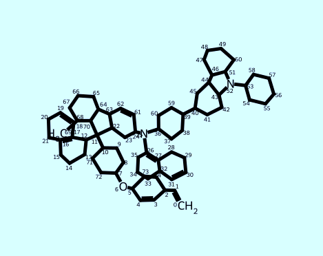 C=CC1C=CC(OC2CCC(C3(C4CCCC5=C4C=CCC5)C4CC(N(C5=C6CCC=CC6CCC5)C5CCC(C6CCC7C(C6)C6CCCCC6N7C6CCCCC6)CC5)C=CC4C4CCCC(C)C43)CC2)CC1